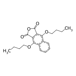 CCCCOc1c2c(c(OCCCC)c3ccccc13)C(=O)OC2=O